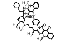 COc1ccc(-n2c(C(C)CCCC(C)c3cc(-n4c(CC5CCCCC5)nc5c(c(=O)c6ccccc6n5C)c4=O)ccc3C)nc3c(c(=O)c4ccccc4n3C)c2=O)cc1